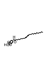 CCCCCCCCCCCCC#CC#CCCCCCCCCC(=O)Nc1ccc(S(=O)(=O)O)cc1